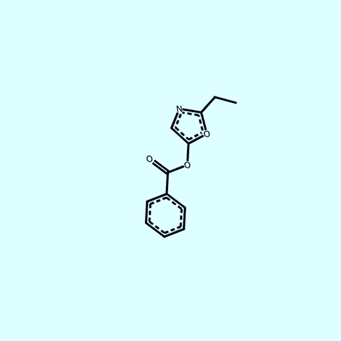 CCc1ncc(OC(=O)c2ccccc2)o1